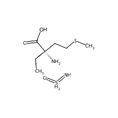 CC[C@](N)(CCSC)C(=O)O.N=[SH2]=O